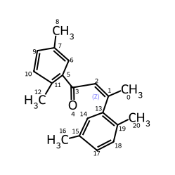 C/C(=C/C(=O)c1cc(C)ccc1C)c1cc(C)ccc1C